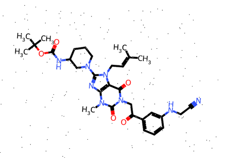 CC(C)=CCn1c(N2CCCC(NC(=O)OC(C)(C)C)C2)nc2c1c(=O)n(CC(=O)c1cccc(NCC#N)c1)c(=O)n2C